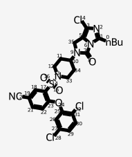 CCCCc1nc(Cl)c2n1C(=O)N(C1CCN(S(=O)(=O)c3cc(C#N)ccc3Oc3cc(Cl)ccc3Cl)CC1)C2